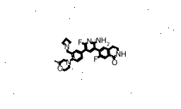 C[C@H]1CN(c2ccc(-c3cc(-c4cc5c(cc4F)C(=O)NCC5)c(N)nc3F)cc2CN2CCC2)CCO1